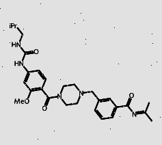 COc1cc(NC(=O)NCC(C)C)ccc1C(=O)N1CCN(Cc2cccc(C(=O)N=C(C)C)c2)CC1